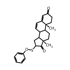 C[C@]12CCC(=O)C=C1C=CC1C2CC[C@]2(C)C(=O)C(SOc3ccccc3)CC12